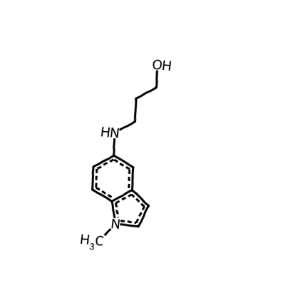 Cn1ccc2cc(NCCCO)ccc21